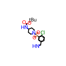 CC(C)(C)OC(=O)NC1CCN(S(=O)(=O)c2cc(C=N)ccc2Cl)CC1